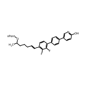 CCCCCOC(C)CCCC=Cc1ccc(-c2ccc(-c3ccc(O)nc3)cc2)c(F)c1F